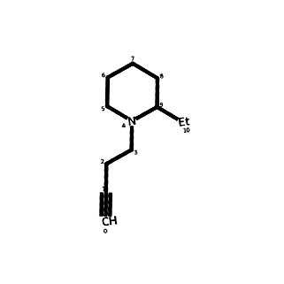 C#CCCN1CCCCC1CC